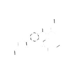 C=COC(C)OC(=O)c1ccc(C(=O)OC(C)OC=C)c(C(=O)OC(C)OC=C)c1